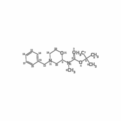 CN(C(=O)OC(C)(C)C)C1CN(Cc2ccccc2)CCO1